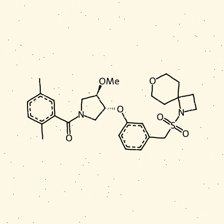 CO[C@@H]1CN(C(=O)c2cc(C)ccc2C)C[C@H]1Oc1cccc(CS(=O)(=O)N2CCC23CCOCC3)c1